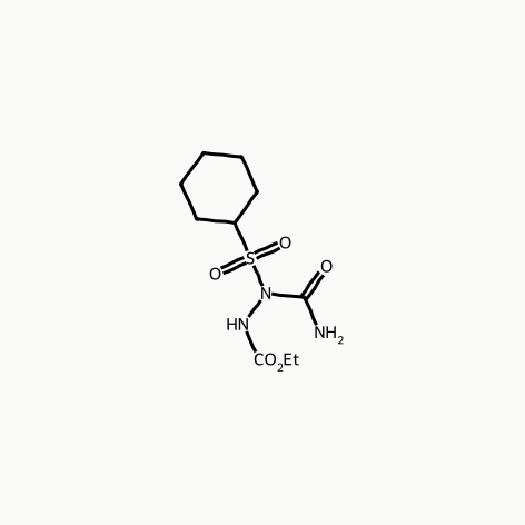 CCOC(=O)NN(C(N)=O)S(=O)(=O)C1CCCCC1